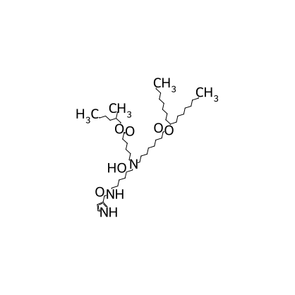 CCCCCCCCC(CCCCCCCC)OC(=O)CCCCCCCN(CCCCCC(=O)OCC(CC)CCCC)CC(O)CCCCNC(=O)c1cc[nH]c1